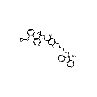 CC(C)(C)[Si](OCCCCc1cc(Cl)c(/C=N/C2(c3cnccc3-c3ccccc3OC3CC3)CC2)cc1Cl)(c1ccccc1)c1ccccc1